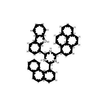 c1ccc2c(c1)ccc1cccc(-c3nc(-c4ccc5ccc6cccc7ccc4c5c67)nc(-c4cccc5c4oc4ccccc45)n3)c12